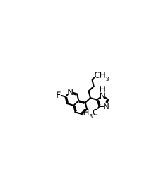 CCCCC(c1[nH]cnc1C)c1cccc2cc(F)ncc12